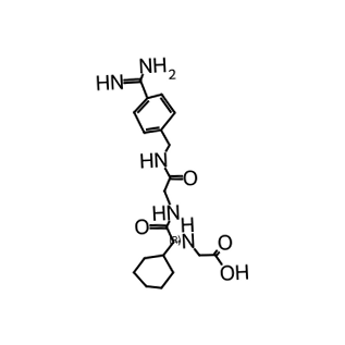 N=C(N)c1ccc(CNC(=O)CNC(=O)[C@H](NCC(=O)O)C2CCCCC2)cc1